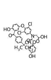 CC(C)(C)c1ccc(C(=O)c2cc(Oc3c(Cl)cc(N(CC(=O)O)C(=O)Oc4ccc(O)cc4)cc3Cl)ccc2O)cc1